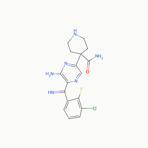 N=C(c1cccc(Cl)c1F)c1ncc(C2(C(N)=O)CCNCC2)nc1N